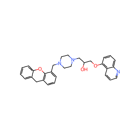 OC(COc1cccc2ncccc12)CN1CCN(Cc2cccc3c2Oc2ccccc2C3)CC1